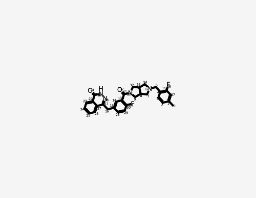 Cc1ccc(CN2CC3CN(C(=O)c4cc(Cc5n[nH]c(=O)c6ccccc56)ccc4F)CC3C2)c(F)c1